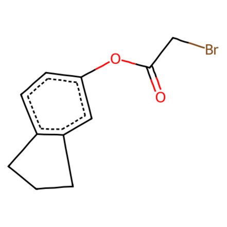 O=C(CBr)Oc1ccc2c(c1)CCC2